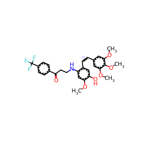 COc1cc(NCCC(=O)c2ccc(C(F)(F)F)cc2)c(/C=C\c2cc(OC)c(OC)c(OC)c2)cc1O